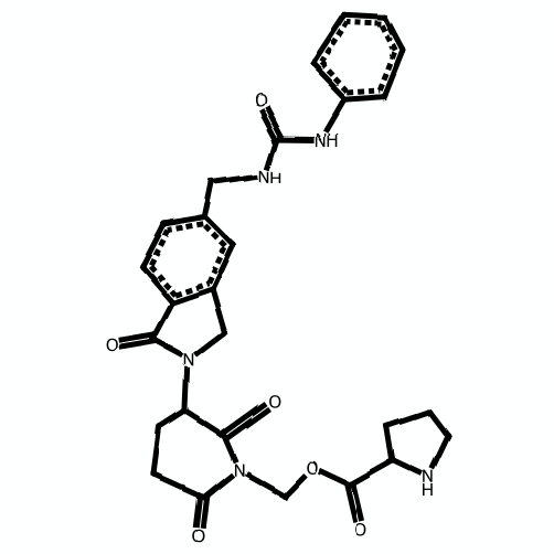 O=C(NCc1ccc2c(c1)CN(C1CCC(=O)N(COC(=O)C3CCCN3)C1=O)C2=O)Nc1ccccc1